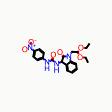 CCOC(CN1C(=O)C(NC(=O)Nc2ccc([N+](=O)[O-])cc2)c2ccccc21)OCC